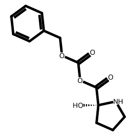 O=C(OCc1ccccc1)OC(=O)[C@]1(O)CCCN1